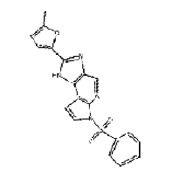 Cc1ccc(-c2nc3cnc4c(ccn4S(=O)(=O)c4ccccc4)c3[nH]2)o1